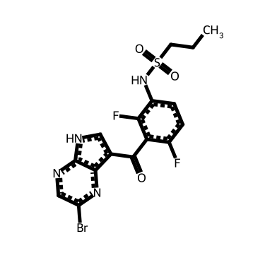 CCCS(=O)(=O)Nc1ccc(F)c(C(=O)c2c[nH]c3ncc(Br)nc23)c1F